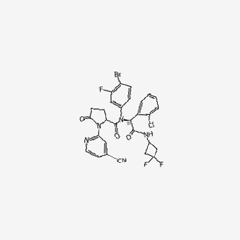 N#Cc1ccnc(N2C(=O)CCC2C(=O)N(c2ccc(Br)c(F)c2)[C@H](C(=O)NC2CC(F)(F)C2)c2ccccc2Cl)c1